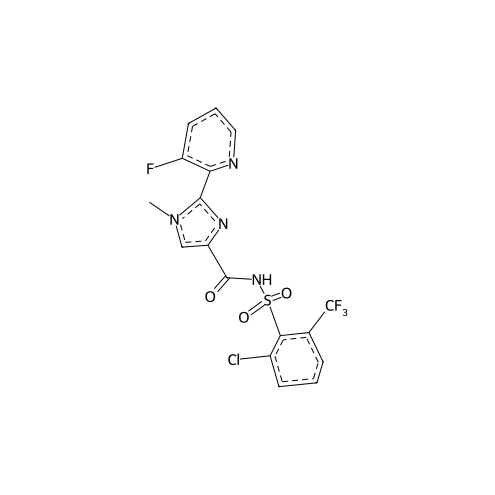 Cn1cc(C(=O)NS(=O)(=O)c2c(Cl)cccc2C(F)(F)F)nc1-c1ncccc1F